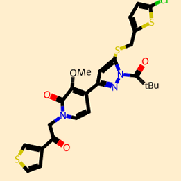 COc1c(-c2cc(SCc3ccc(Cl)s3)n(C(=O)C(C)(C)C)n2)ccn(CC(=O)c2ccsc2)c1=O